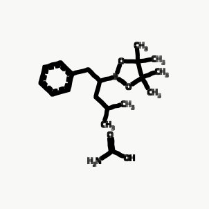 CC(C)CC(Cc1ccccc1)B1OC(C)(C)C(C)(C)O1.NC(=O)O